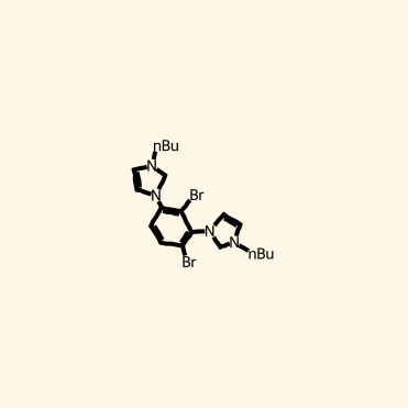 CCCCN1C=CN(c2ccc(Br)c(N3C=CN(CCCC)C3)c2Br)C1